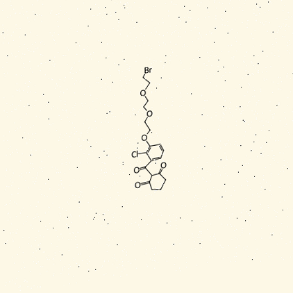 O=C1CCCC(=O)C1C(=O)c1cccc(OCCOCCOCCBr)c1Cl